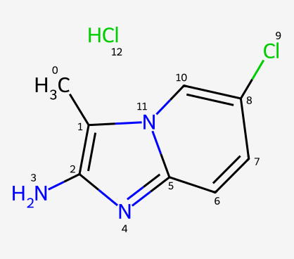 Cc1c(N)nc2ccc(Cl)cn12.Cl